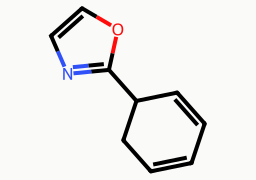 C1=CCC(c2ncco2)C=C1